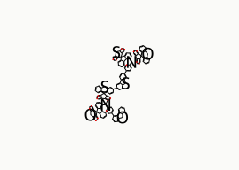 c1ccc2c(c1)Oc1ccccc1C21c2ccccc2-c2c(N(c3ccc(-c4ccc5c(c4)sc4ccc(-c6ccc7c(c6)Sc6ccccc6C76c7ccccc7-c7c(N(c8ccc(-c9cccc%10oc%11ccccc%11c9%10)cc8)c8cccc9c8-c8ccccc8C98c9ccccc9Oc9ccccc98)cccc76)cc45)cc3)c3cccc4c3-c3ccccc3C43c4ccccc4Sc4ccccc43)cccc21